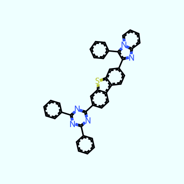 c1ccc(-c2nc(-c3ccccc3)nc(-c3ccc4c(c3)sc3cc(-c5nc6ccccn6c5-c5ccccc5)ccc34)n2)cc1